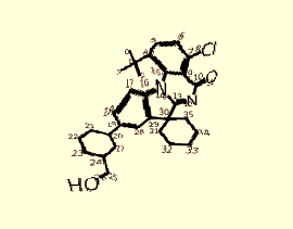 CC(C)(C)c1ccc(Cl)c2c(=O)nc3n(c12)-c1ccc(C2CCCC(CO)C2)cc1C31CCCCC1